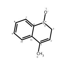 CC1=CC[S+]([O-])c2ccccc21